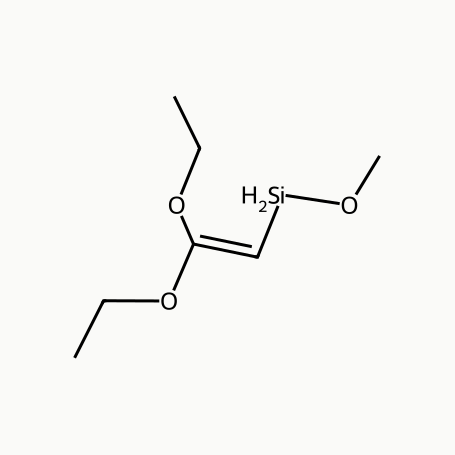 CCOC(=C[SiH2]OC)OCC